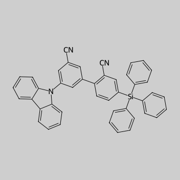 N#Cc1cc(-c2ccc([Si](c3ccccc3)(c3ccccc3)c3ccccc3)cc2C#N)cc(-n2c3ccccc3c3ccccc32)c1